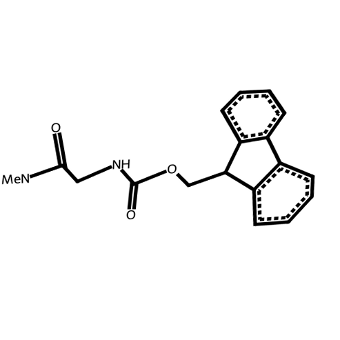 CNC(=O)CNC(=O)OCC1c2ccccc2-c2ccccc21